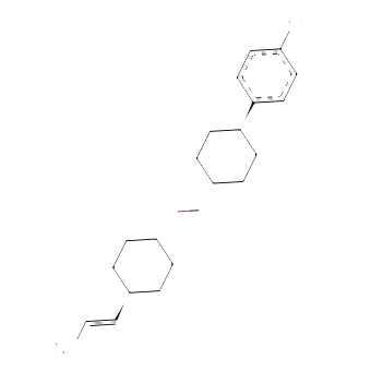 N#C/C=C/[C@H]1CC[C@H](OC[C@H]2CC[C@H](c3ccc(C(F)(F)F)cc3)CC2)CC1